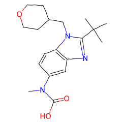 CN(C(=O)O)c1ccc2c(c1)nc(C(C)(C)C)n2CC1CCOCC1